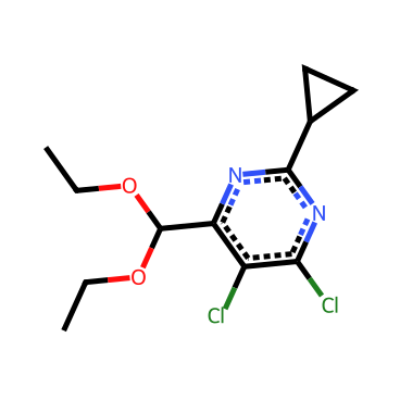 CCOC(OCC)c1nc(C2CC2)nc(Cl)c1Cl